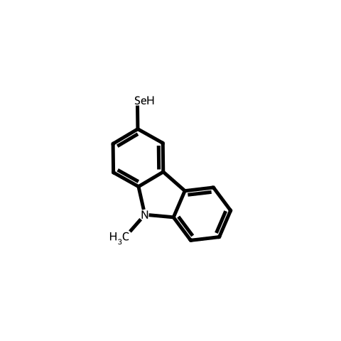 Cn1c2ccccc2c2cc([SeH])ccc21